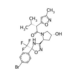 Cc1cc([C@H](C(=O)N2C[C@H](O)C[C@H]2C2=NO[C@](c3ccc(Br)cc3)(C(F)(F)F)N2)C(C)C)on1